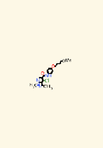 COCCCCOc1ccc(NC(=O)c2cnc3c(c(C)nn3C)c2Cl)cc1